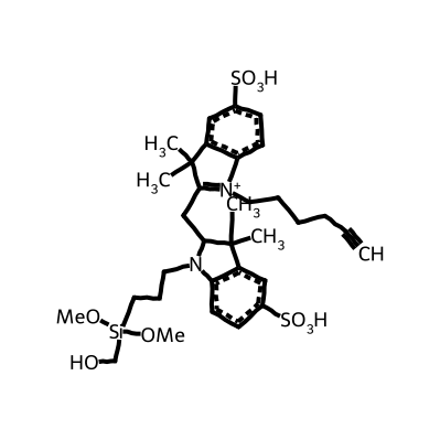 C#CCCCC[N+]1=C(CC2N(CCC[Si](CO)(OC)OC)c3ccc(S(=O)(=O)O)cc3C2(C)C)C(C)(C)c2cc(S(=O)(=O)O)ccc21